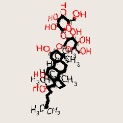 CC(C)=CCC[C@](C)(O)[C@H]1CC[C@]2(C)[C@@H]1[C@H](O)C[C@@H]1[C@@]3(C)C[C@@H](O)[C@H](O[C@@H]4O[C@H](CO)[C@@H](O)[C@H](O)[C@H]4O[C@@H]4O[C@H](CO)[C@@H](O)[C@H](O)[C@H]4O)C(C)(C)C3CC[C@]12C